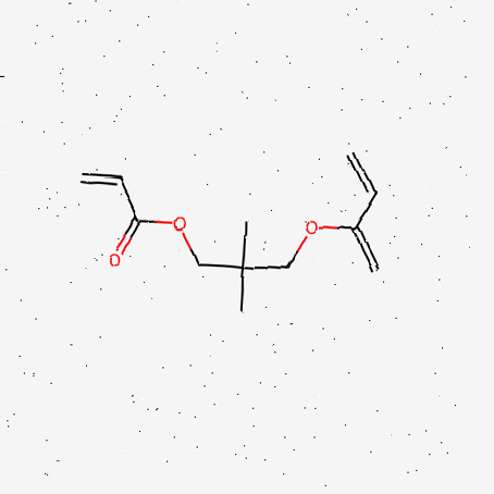 C=CC(=C)OCC(C)(C)COC(=O)C=C